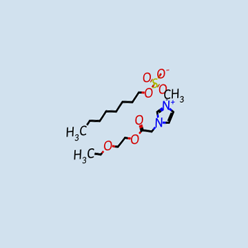 CCCCCCCCOS(=O)(=O)[O-].CCOCCOC(=O)Cn1cc[n+](C)c1